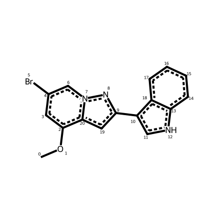 COc1cc(Br)cn2nc(-c3c[nH]c4ccccc34)cc12